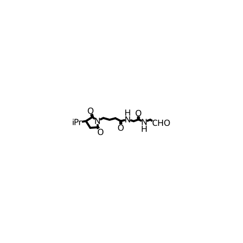 CC(C)C1CC(=O)N(CCCC(=O)NCC(=O)NCC=O)C1=O